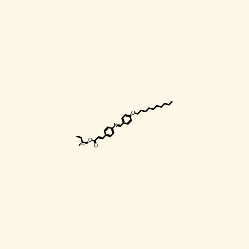 CCCCCCCCCCOc1ccc(C=Nc2ccc(C=CC(=O)OC[C@@H](C)CC)cc2)cc1